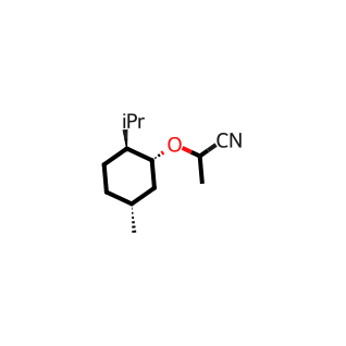 CC(C#N)O[C@@H]1C[C@H](C)CC[C@H]1C(C)C